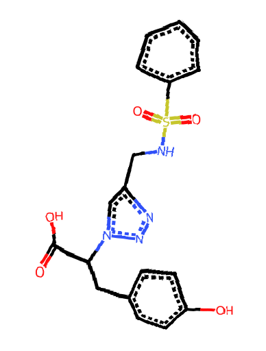 O=C(O)C(Cc1ccc(O)cc1)n1cc(CNS(=O)(=O)c2ccccc2)nn1